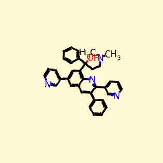 CN(C)CCC(O)(c1ccccc1)c1cc(-c2cccnc2)cc2cc(-c3ccccc3)c(-c3cccnc3)nc12